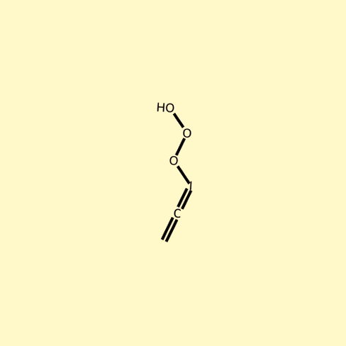 C=C=IOOO